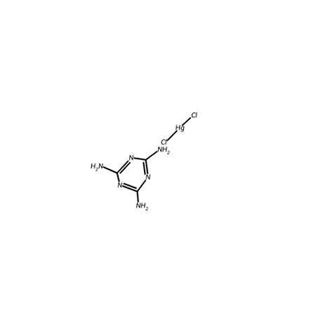 Nc1nc(N)nc(N)n1.[Cl][Hg][Cl]